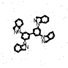 c1ccc2c(c1)cnn2-c1cc(-c2cc(-n3ncc4ccccc43)cc(-n3ncc4ccccc43)c2)cc(-n2ncc3ccccc32)c1